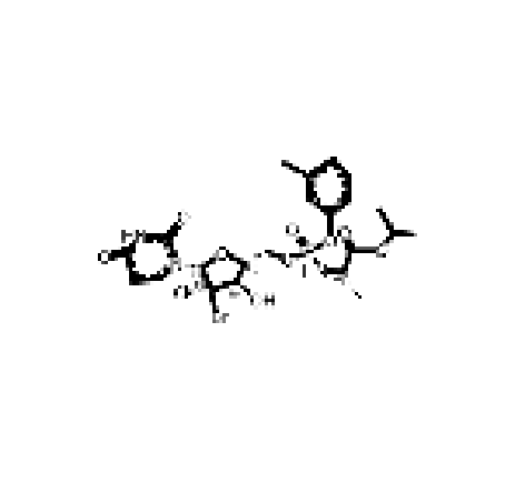 Cc1cccc(OP(=O)(N[C@@H](C)C(=O)OC(C)C)OC[C@H]2O[C@@H](n3ccc(=O)[nH]c3=O)[C@](Cl)(Br)[C@@H]2O)c1